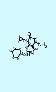 Nc1cc(=O)n(C2CC2)c2nc(NC3CCCCC3)ncc12